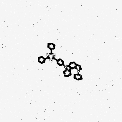 c1ccc(-c2nc(-c3ccccc3)nc(-c3ccc(-n4c5ccccc5c5c6c(ccc54)ccn6-c4ccccc4)cc3)n2)cc1